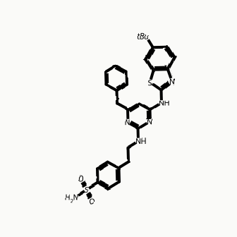 CC(C)(C)c1ccc2nc(Nc3cc(Cc4ccccc4)nc(NCCc4ccc(S(N)(=O)=O)cc4)n3)sc2c1